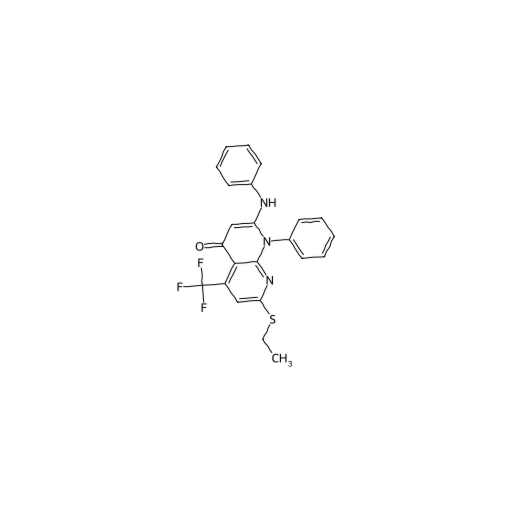 CCSc1cc(C(F)(F)F)c2c(=O)cc(Nc3ccccc3)n(-c3ccccc3)c2n1